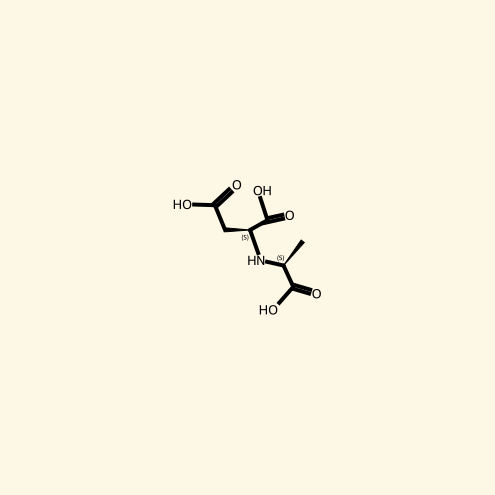 C[C@H](N[C@@H](CC(=O)O)C(=O)O)C(=O)O